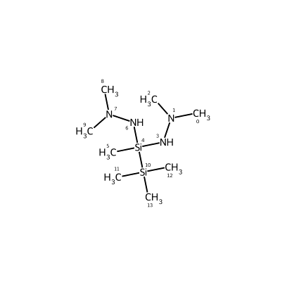 CN(C)N[Si](C)(NN(C)C)[Si](C)(C)C